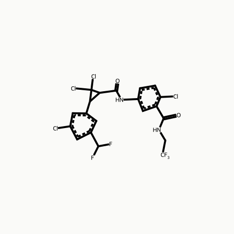 O=C(NCC(F)(F)F)c1cc(NC(=O)C2C(c3cc(Cl)cc(C(F)F)c3)C2(Cl)Cl)ccc1Cl